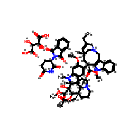 CCC1=C[C@@H]2C[N@](C1)Cc1c([nH]c3ccccc13)[C@@](C(=O)OC)(c1cc3c(cc1OC)N(C)[C@H]1[C@@](O)(C(=O)OC)[C@H](OC(C)=O)[C@]4(CC)C=CCN5CC[C@]31[C@@H]54)C2.O=C(O)C(O)C(O)C(=O)O.O=C1CCC(N2C(=O)c3ccccc3C2=O)C(=O)N1